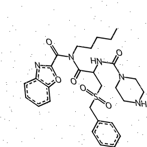 CCCCCN(C(=O)c1nc2ccccc2o1)C(=O)C(CS(=O)(=O)Cc1ccccc1)NC(=O)N1CCNCC1